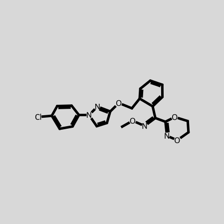 CON=C(C1=NOCCO1)c1ccccc1COc1ccn(-c2ccc(Cl)cc2)n1